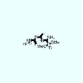 C=C(/N=C(C)\N=C(/N)P(=O)(OC)OC)NCCC